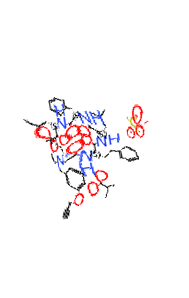 C#CCOc1cc(C[N+]2(CC(=O)N[C@@H](CCc3ccccc3)C(=O)N[C@@H](CC(C)C)C(=O)N[C@@H](Cc3ccccc3)C(=O)N[C@@H](CC(C)C)C(=O)[C@@]3(C)CO3)CCOCC2)ccc1OC(=O)C(C)C.CS(=O)(=O)[O-]